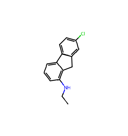 CCNc1cccc2c1Cc1cc(Cl)ccc1-2